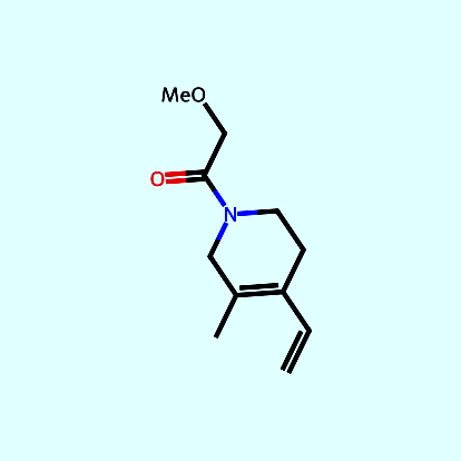 C=CC1=C(C)CN(C(=O)COC)CC1